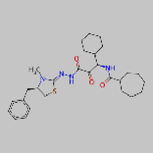 CN1/C(=N/NC(=O)C(=O)[C@H](NC(=O)C2CCCCCC2)C2CCCCC2)SC[C@H]1Cc1ccccc1